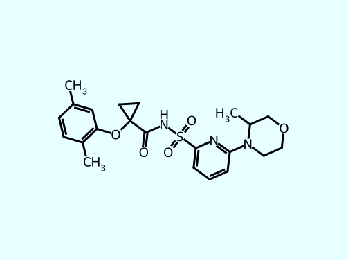 Cc1ccc(C)c(OC2(C(=O)NS(=O)(=O)c3cccc(N4CCOCC4C)n3)CC2)c1